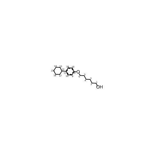 OCCCCCCOc1ccc(C2CCCCC2)cc1